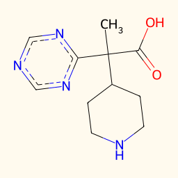 CC(C(=O)O)(c1ncncn1)C1CCNCC1